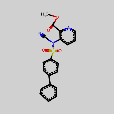 COC(=O)c1ncccc1N(C#N)S(=O)(=O)c1ccc(-c2ccccc2)cc1